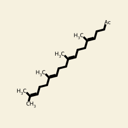 CC(=O)CC/C=C(\C)CC/C=C(\C)CC/C=C(\C)CCC=C(C)C